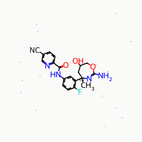 C[C@@]1(c2cc(NC(=O)c3ccc(C#N)cn3)ccc2F)CC(O)COC(N)=N1